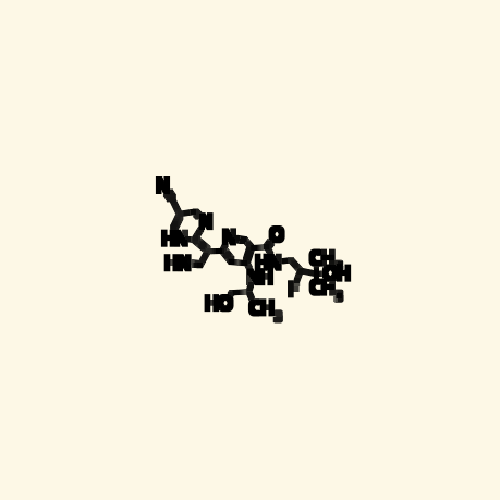 CC(CO)Nc1cc(/C(C=N)=C2\N=CC(C#N)=CN2)ncc1C(=O)NCC(F)C(C)(C)O